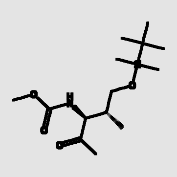 COC(=O)N[C@H](C(C)=O)[C@@H](C)CO[Si](C)(C)C(C)(C)C